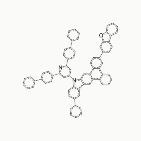 c1ccc(-c2ccc(-c3cc(-n4c5ccc(-c6ccccc6)cc5c5cc6c7ccccc7c7cc(-c8ccc9c(c8)oc8ccccc89)ccc7c6cc54)cc(-c4ccc(-c5ccccc5)cc4)n3)cc2)cc1